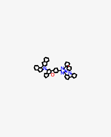 c1ccc(-c2nc(-c3ccc4c(c3)oc3c5ccccc5c(-n5c6cc7ccccc7cc6c6c7ccccc7ccc65)cc43)nc(-c3cccc4c5ccccc5n(-c5ccccc5)c34)n2)cc1